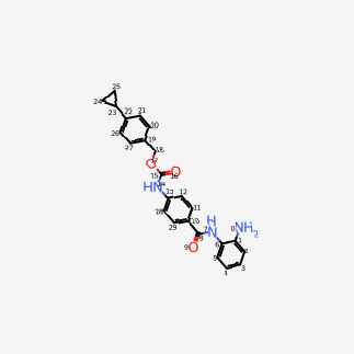 Nc1ccccc1NC(=O)c1ccc(NC(=O)OCc2ccc(C3CC3)cc2)cc1